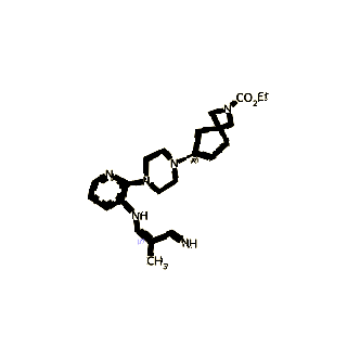 CCOC(=O)N1CC2(CC[C@@H](N3CCN(c4ncccc4N/C=C(/C)C=N)CC3)C2)C1